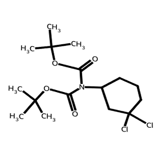 CC(C)(C)OC(=O)N(C(=O)OC(C)(C)C)C1CCCC(Cl)(Cl)C1